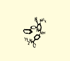 N#Cc1c(N)cc(Nc2ccc(C(N)=O)cc2)nc1Oc1ccccc1